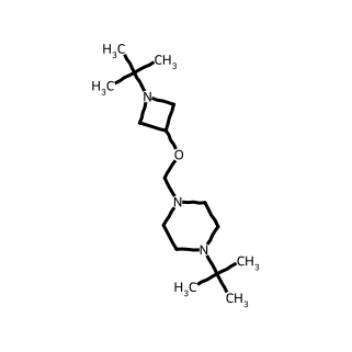 CC(C)(C)N1CCN(COC2CN(C(C)(C)C)C2)CC1